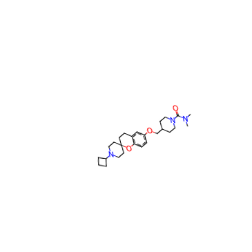 CN(C)C(=O)N1CCC(COc2ccc3c(c2)CCC2(CCN(C4CCC4)CC2)O3)CC1